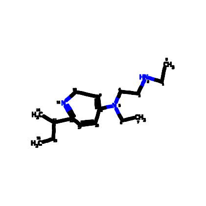 CCNCCN(CC)C1=CCN=C(C(C)CC)C=C1